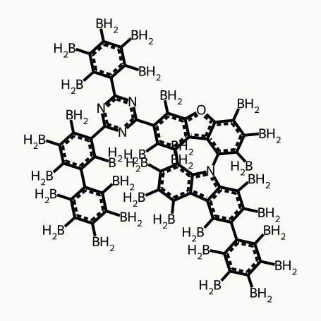 Bc1c(B)c(B)c(-c2nc(-c3c(B)c(B)c(B)c(-c4c(B)c(B)c(B)c(B)c4B)c3B)nc(-c3c(B)c(B)c4c(oc5c(B)c(B)c(B)c(-n6c7c(B)c(B)c(B)c(B)c7c7c(B)c(-c8c(B)c(B)c(B)c(B)c8B)c(B)c(B)c76)c54)c3B)n2)c(B)c1B